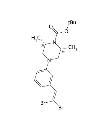 C[C@@H]1CN(c2cccc(C=C(Br)Br)c2)C[C@H](C)N1C(=O)OC(C)(C)C